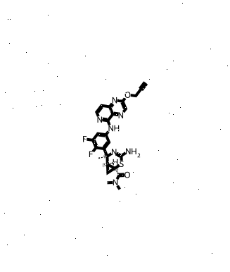 C#CCOc1cnc2c(Nc3cc(F)c(F)c([C@@]4(C)N=C(N)S[C@@]5(C(=O)N(C)C)C[C@H]54)c3)nccc2n1